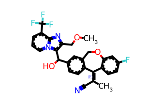 COCc1nc2c(C(F)(F)F)cccn2c1C(O)c1ccc2c(c1)COc1cc(F)ccc1/C2=C(\C)C#N